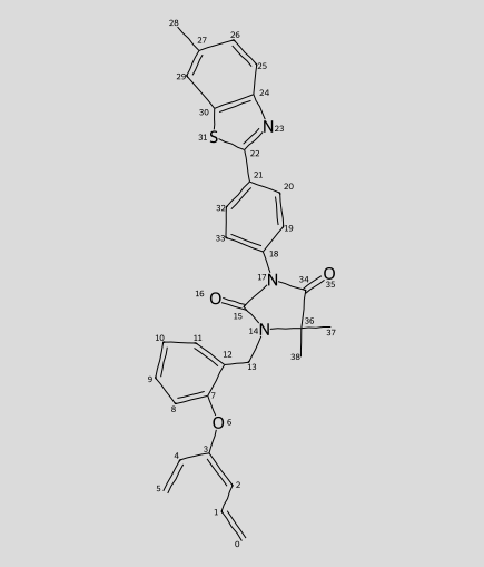 C=C/C=C(\C=C)Oc1ccccc1CN1C(=O)N(c2ccc(-c3nc4ccc(C)cc4s3)cc2)C(=O)C1(C)C